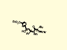 CCCN(C(=O)[C@@H](N=[N+]=[N-])C(C)CC)[C@H](C[C@@H](O)c1nc(C(=O)OCC)cs1)C(C)C